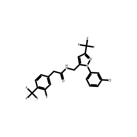 O=C(Cc1ccc(C(F)(F)F)c(F)c1)NCc1cc(C(F)(F)F)nn1-c1cccc(Cl)c1